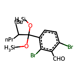 CCCC(C(C)(C)C)C(O[SiH3])(O[SiH3])c1ccc(Br)c(C=O)c1Br